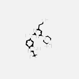 CCCc1cc(N2CCOCC2)nc(Nc2ccc3nc(C(F)(F)F)[nH]c3c2)n1.Cl